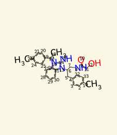 Cc1ccc(CC(CNC(=O)CO)n2c(=N)n([C@@H](C)c3ccc(C)cc3)c3ccccc32)cc1